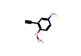 [C]#Cc1cc(N)ccc1OC